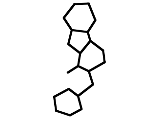 CC1C(CC2CCCCC2)CCC2C3CCCCC3CC12